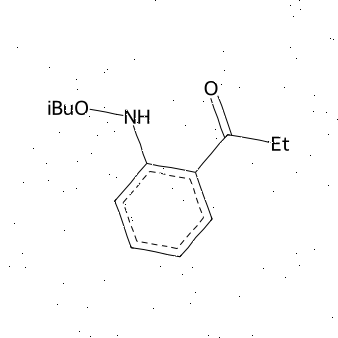 CCC(=O)c1ccccc1NOCC(C)C